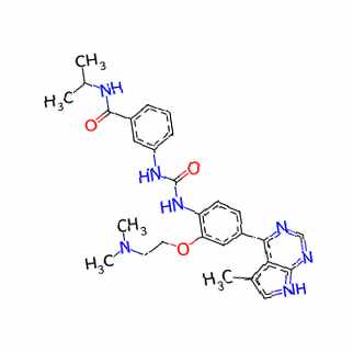 Cc1c[nH]c2ncnc(-c3ccc(NC(=O)Nc4cccc(C(=O)NC(C)C)c4)c(OCCN(C)C)c3)c12